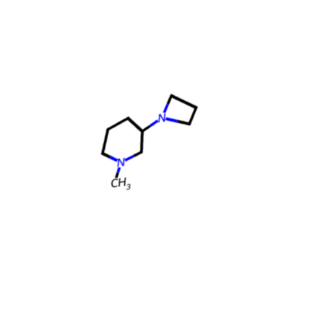 CN1CCCC(N2CCC2)C1